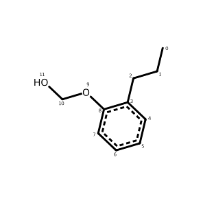 CCCc1ccccc1OCO